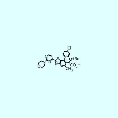 Cc1cc2nc(-c3ccnc(N4CCOCC4)n3)sc2c(-c2ccc(Cl)cc2)c1[C@H](OC(C)(C)C)C(=O)O